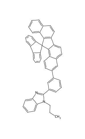 CCCn1c(-c2cccc(-c3ccc4c5c(ccc4c3)-c3ccc4ccccc4c3C53c4ccccc4-c4ccccc43)c2)nc2ccccc21